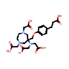 O=C(O)CCc1ccc(OCC2(N(CC(=O)O)CC(=O)O)CN(CC(=O)O)CCN(CC(=O)O)C2)cc1